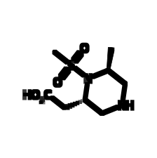 C[C@H]1CNC[C@H](CC(=O)O)N1S(C)(=O)=O